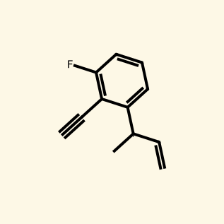 C#Cc1c(F)cccc1[C](C)C=C